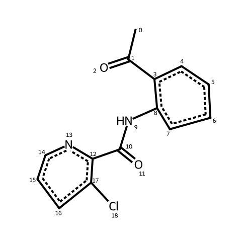 CC(=O)c1ccccc1NC(=O)c1ncccc1Cl